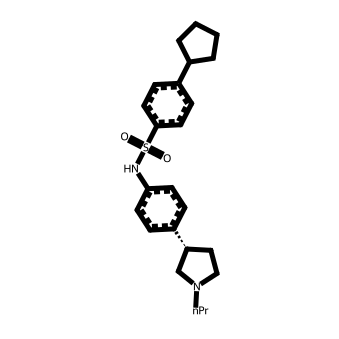 CCCN1CC[C@@H](c2ccc(NS(=O)(=O)c3ccc(C4CCCC4)cc3)cc2)C1